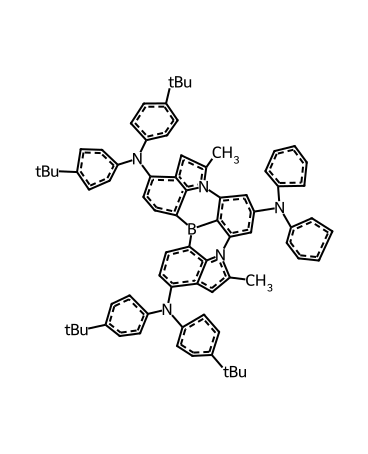 Cc1cc2c(N(c3ccc(C(C)(C)C)cc3)c3ccc(C(C)(C)C)cc3)ccc3c2n1-c1cc(N(c2ccccc2)c2ccccc2)cc2c1B3c1ccc(N(c3ccc(C(C)(C)C)cc3)c3ccc(C(C)(C)C)cc3)c3cc(C)n-2c13